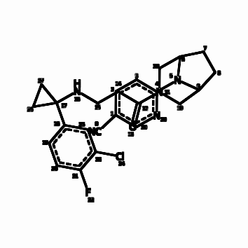 N#Cc1ccc(N2C3CCC2CN(C(=O)CCNC2(c4ccc(F)c(Cl)c4)CC2)C3)nc1